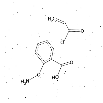 C=CC(=O)Cl.NOc1ccccc1C(=O)O